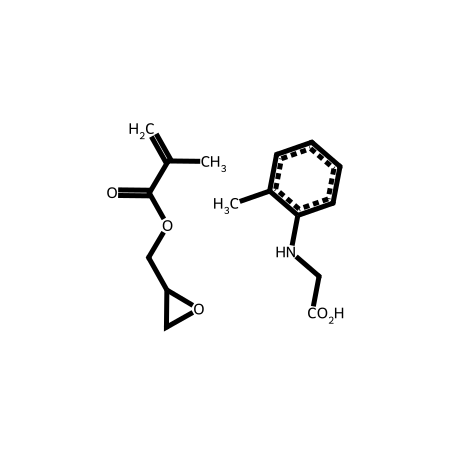 C=C(C)C(=O)OCC1CO1.Cc1ccccc1NCC(=O)O